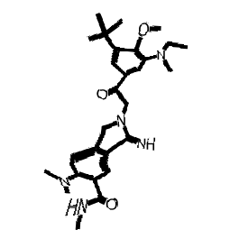 CCN(C)c1cc(C(=O)CN2Cc3cc(N(C)C)c(C(=O)NC)cc3C2=N)cc(C(C)(C)C)c1OC